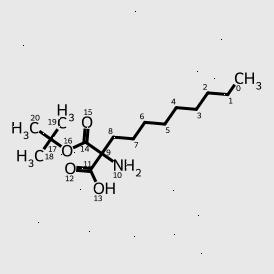 CCCCCCCCCC(N)(C(=O)O)C(=O)OC(C)(C)C